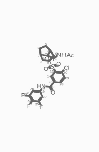 CC(=O)NC[C@]1(O)C2CCC1C[C@@H](S(=O)(=O)c1cc(C(=O)Nc3cc(F)c(F)c(F)c3)ccc1Cl)C2